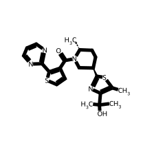 Cc1sc([C@@H]2CC[C@@H](C)N(C(=O)c3ccsc3-c3ncccn3)C2)nc1C(C)(C)O